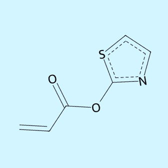 C=CC(=O)Oc1nccs1